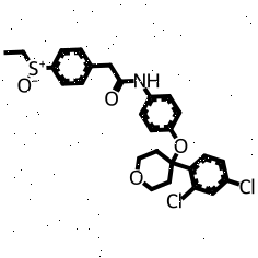 CC[S@+]([O-])c1ccc(CC(=O)Nc2ccc(OC3(c4ccc(Cl)cc4Cl)CCOCC3)cc2)cc1